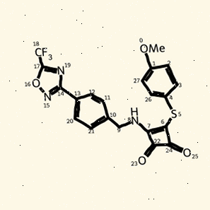 COc1ccc(Sc2c(NCc3ccc(-c4noc(C(F)(F)F)n4)cc3)c(=O)c2=O)cc1